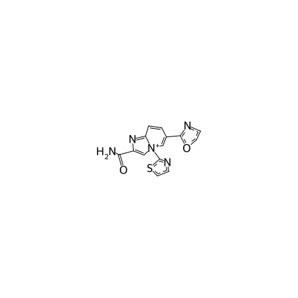 NC(=O)C1=C[N+]2(c3nccs3)C=C(c3ncco3)C=CC2=N1